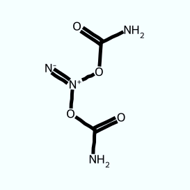 [N-]=[N+](OC(N)=O)OC(N)=O